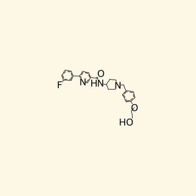 O=C(NC1CCN(Cc2ccc(OCCO)cc2)CC1)c1ccc(-c2cccc(F)c2)nc1